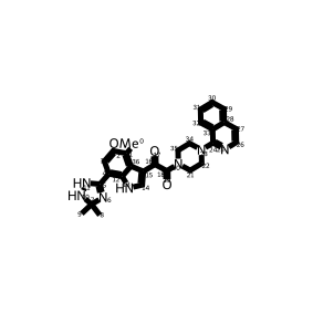 COc1ccc(C2=NC(C)(C)NN2)c2[nH]cc(C(=O)C(=O)N3CCN(c4nccc5ccccc45)CC3)c12